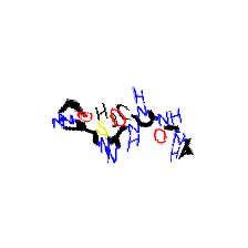 CC1NC=C(NC(=O)CNCC2CC2)C=C1NC(=O)c1cnn2cc(-c3cnn4c3OCCC4)sc12